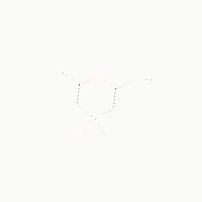 CCCCCCC1C[N+](C)([O-])CC(CCCCCC)O1